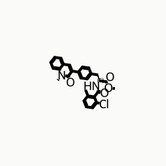 COC(=O)[C@H](Cc1ccc(-c2cc3ccccc3n(C)c2=O)cc1)NC(=O)c1c(C)cccc1Cl